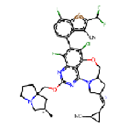 C[C@H]1CN2CCCC2(COc2nc3c4c(c(Cl)c(-c5ccc(F)c6sc(C(F)F)c(C#N)c56)c(F)c4n2)OCC2C/C(=C/C4CC4C#N)CN32)C1